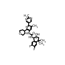 Cc1ncc(-c2nc(C3CCOCC3)c(NC(=O)NC3c4cc(F)c(F)cc4C(C)(C)C[C@H]3O)cc2C)cn1